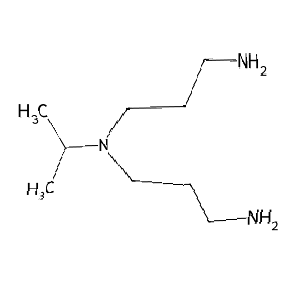 CC(C)N(CCCN)CCCN